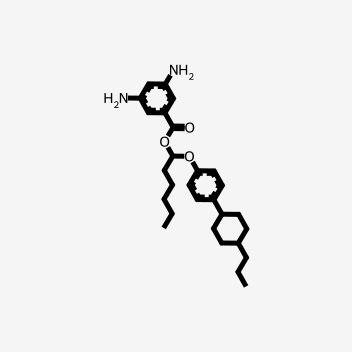 CCCCCC(OC(=O)c1cc(N)cc(N)c1)Oc1ccc(C2CCC(CCC)CC2)cc1